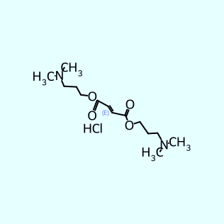 CN(C)CCCOC(=O)/C=C/C(=O)OCCCN(C)C.Cl